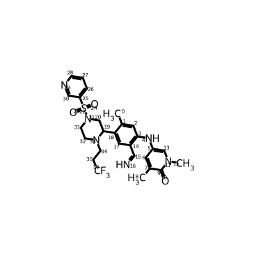 Cc1cc(Nc2cc(C)c(=O)n(C)c2)c(C=N)cc1C1CN(S(=O)(=O)c2cccnc2)CCN1CCC(F)(F)F